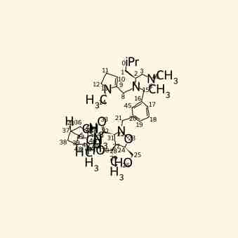 CC(C)C[C@@H](CN(C)C)N(CC1=CCCN1C)Cc1cccc(CN2O[C@@H](CO)[C@@H]([C@H](C)O)[C@H]2C(=O)N[C@H]2C[C@H]3C[C@@H]([C@@H]2C)C3(C)C)c1